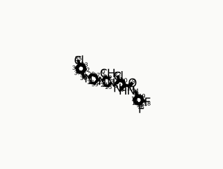 C[C@@H]1CN(c2ncc(C(=O)NCc3ccc(F)c(F)c3)cc2Cl)CCN1C1CCN(Cc2ccc(Cl)cc2)CC1